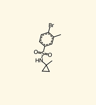 Cc1cc(S(=O)(=O)NC2(C)CC2)ccc1Br